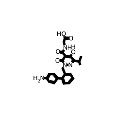 CC(C)c1nn(Cc2ccccc2-c2ccc(N)cc2)c(=O)c(C(=O)NCC(=O)O)c1O